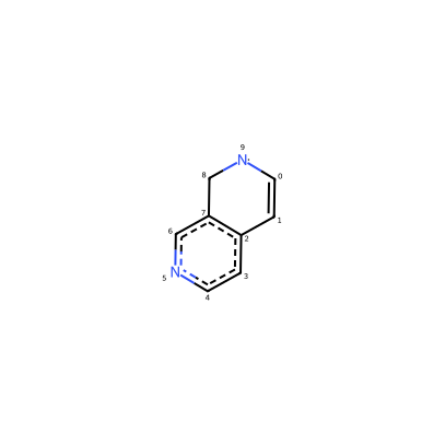 C1=Cc2ccncc2C[N]1